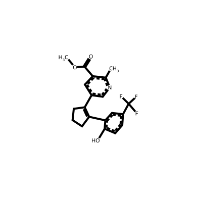 COC(=O)c1cc(C2=C(c3cc(C(F)(F)F)ccc3O)CCC2)cnc1C